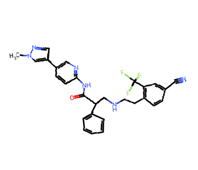 Cn1cc(-c2ccc(NC(=O)C(CNCCc3ccc(C#N)cc3C(F)(F)F)c3ccccc3)nc2)cn1